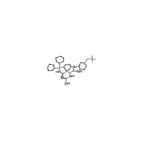 CC(C)(C)Cc1ccc2[nH]c(C(CC(=O)NC(c3ccccc3)(c3ccccc3)c3ccccc3)NC(=O)O)nc2c1